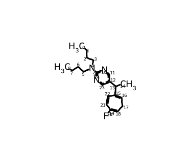 CCCCN(CCCC)c1ncc(C(C)C2=CCC=C(F)C=C2)cn1